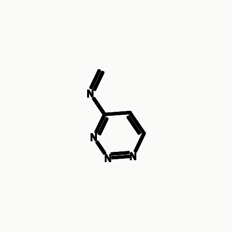 C=Nc1ccnnn1